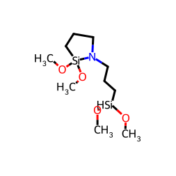 CO[SiH](CCCN1CCC[Si]1(OC)OC)OC